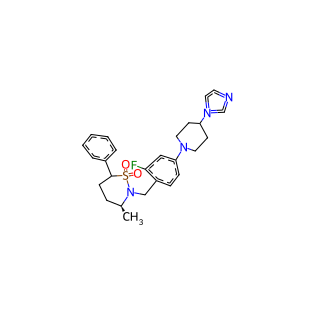 C[C@H]1CCC(c2ccccc2)S(=O)(=O)N1Cc1ccc(N2CCC(n3ccnc3)CC2)cc1F